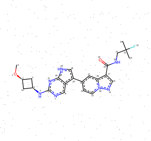 CO[C@H]1C[C@@H](Nc2ncc3c(-c4ccn5ncc(C(=O)NCC(C)(C)F)c5c4)c[nH]c3n2)C1